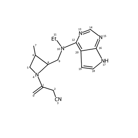 C=C(CC#N)N1CC(C)C1CN(CC)c1ncnc2[nH]ccc12